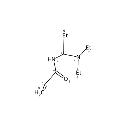 C=CC(=O)NC(CC)N(CC)CC